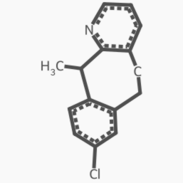 CC1c2ccc(Cl)cc2CCc2cccnc21